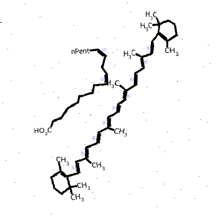 CC1=C(/C=C/C(C)=C/C=C/C(C)=C/C=C/C=C(C)/C=C/C=C(C)/C=C/C2=C(C)CCCC2(C)C)C(C)(C)CCC1.CCCCC/C=C\C/C=C\CCCCCCCC(=O)O